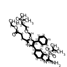 CCOC(=O)CCc1nc(-c2ccc3nc(N)n(S(=O)(=O)C(C)C)c3c2)c(-c2ccccc2)n1COCC[Si](C)(C)C